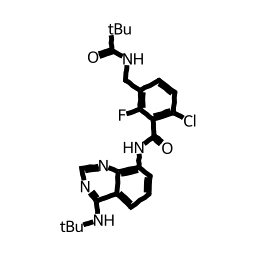 CC(C)(C)Nc1ncnc2c(NC(=O)c3c(Cl)ccc(CNC(=O)C(C)(C)C)c3F)cccc12